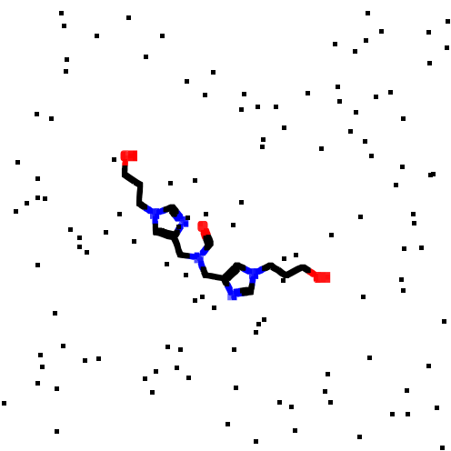 O=CN(Cc1cn(CCCO)cn1)Cc1cn(CCCO)cn1